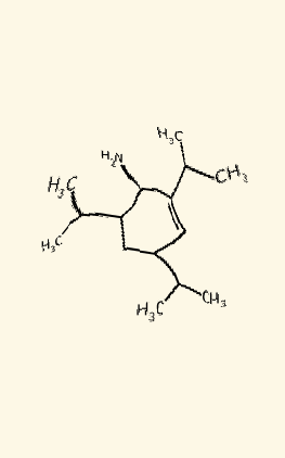 CC(C)C1=CC(C(C)C)CC(C(C)C)[C@H]1N